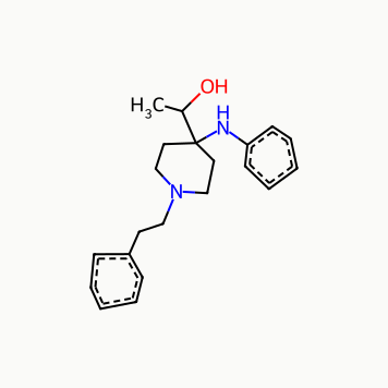 CC(O)C1(Nc2ccccc2)CCN(CCc2ccccc2)CC1